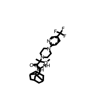 CONC(=O)C12CC3CC(C1)C(NC(=O)C(C)(C)N1CCN(c4ccc(C(F)(F)F)cn4)CC1)C(C3)C2